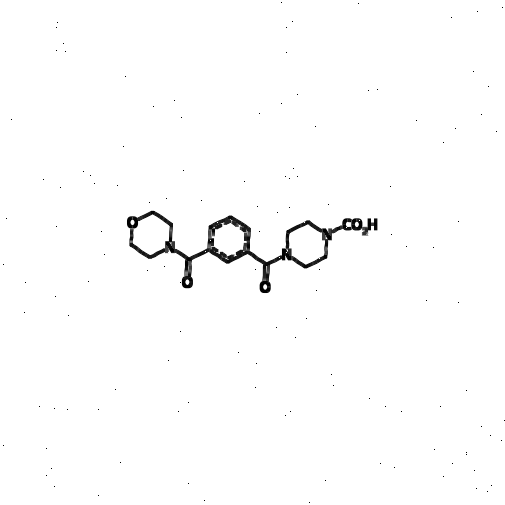 O=C(O)N1CCN(C(=O)c2cccc(C(=O)N3CCOCC3)c2)CC1